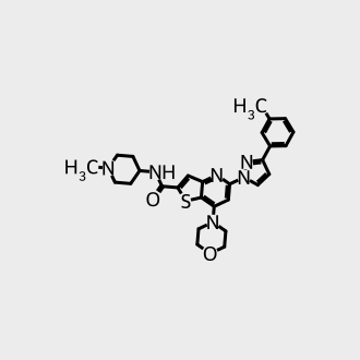 Cc1cccc(-c2ccn(-c3cc(N4CCOCC4)c4sc(C(=O)NC5CCN(C)CC5)cc4n3)n2)c1